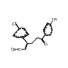 N#Cc1ccc(C(=O)CCC(=CC=O)c2ccc(Cl)cc2)cc1